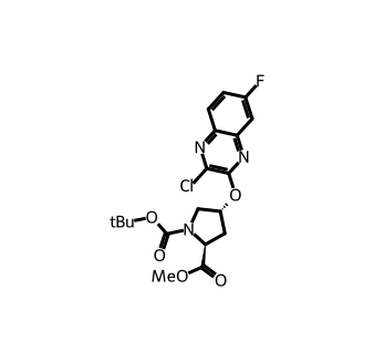 COC(=O)[C@@H]1C[C@@H](Oc2nc3cc(F)ccc3nc2Cl)CN1C(=O)OC(C)(C)C